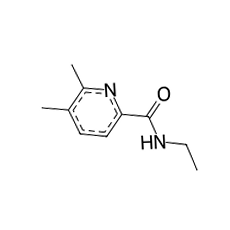 CCNC(=O)c1ccc(C)c(C)n1